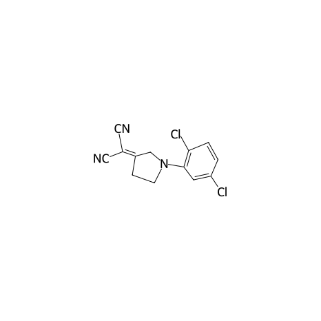 N#CC(C#N)=C1CCN(c2cc(Cl)ccc2Cl)C1